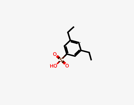 CCc1[c]c(CC)cc(S(=O)(=O)O)c1